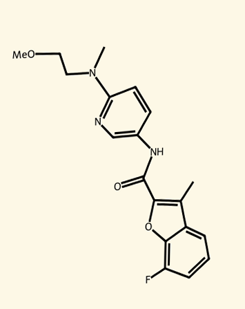 COCCN(C)c1ccc(NC(=O)c2oc3c(F)cccc3c2C)cn1